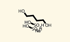 O=S(=O)(O)O.O=S(=O)(O)O.OCCCCO.[Na]